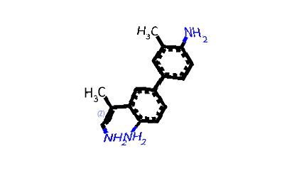 C/C(=C/N)c1cc(-c2ccc(N)c(C)c2)ccc1N